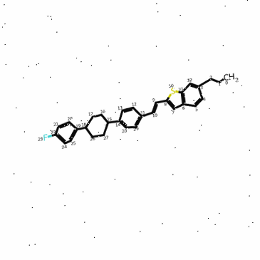 CCCc1ccc2cc(/C=C/c3ccc(C4CCC(c5ccc(F)cc5)CC4)cc3)sc2c1